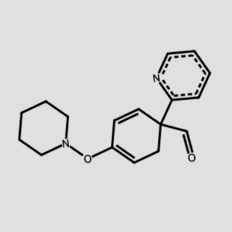 O=CC1(c2ccccn2)C=CC(ON2CCCCC2)=CC1